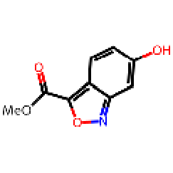 COC(=O)c1onc2cc(O)ccc12